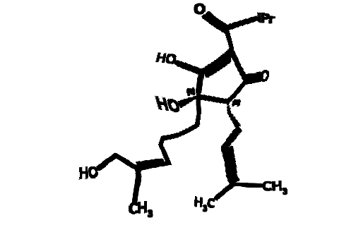 CC(C)=CC[C@H]1C(=O)C(C(=O)C(C)C)=C(O)[C@@]1(O)CCC=C(C)CO